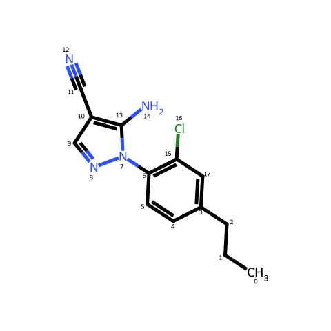 CCCc1ccc(-n2ncc(C#N)c2N)c(Cl)c1